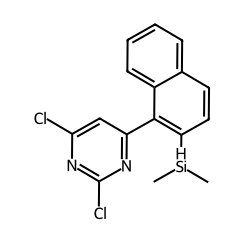 C[SiH](C)c1ccc2ccccc2c1-c1cc(Cl)nc(Cl)n1